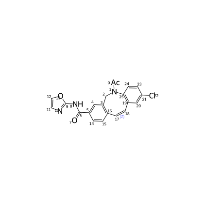 CC(=O)N1Cc2cc(C(=O)Nc3ncco3)ccc2/C=C\c2cc(Cl)ccc21